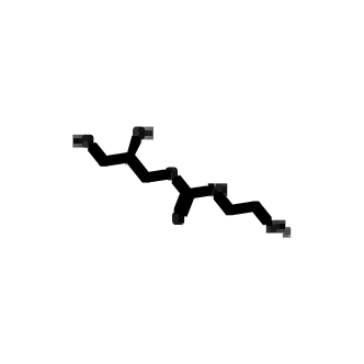 NCCNC(=O)OC[C@H](O)CO